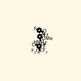 CCN(C(=O)c1ccc(F)cc1)c1cccc(C(=O)Nc2c(Cl)cc(C(F)(C(F)(F)F)C(F)(F)F)cc2OC(F)F)c1OC